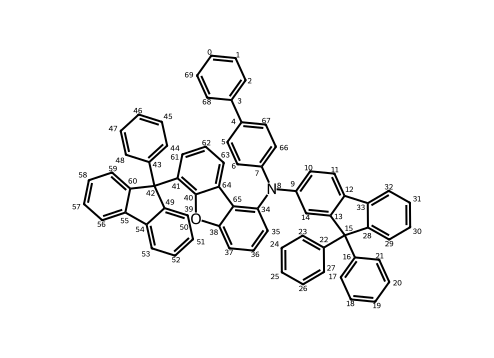 c1ccc(-c2ccc(N(c3ccc4c(c3)C(c3ccccc3)(c3ccccc3)c3ccccc3-4)c3cccc4oc5c(C6(c7ccccc7)c7ccccc7-c7ccccc76)cccc5c34)cc2)cc1